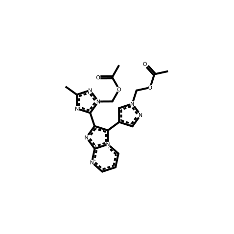 CC(=O)OCn1cc(-c2c(-c3nc(C)nn3COC(C)=O)nc3ncccn23)cn1